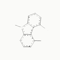 Fc1cccc2c1c1c(F)cccc1n2I